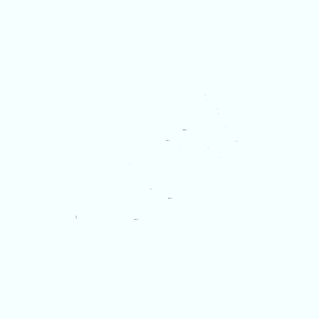 c1ccc2c(c1)-c1ccccc1C21c2cc3cc(-c4c5ccccc5c(-c5ccc6sc7cc8ccccc8cc7c6c5)c5ccccc45)ccc3cc2-c2c1ccc1ccccc21